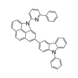 c1ccc(-c2cccc(-n3c4cccc5ccc6cc(-c7ccc8c(c7)c7ccccc7n8-c7ccccc7)cc3c6c54)n2)cc1